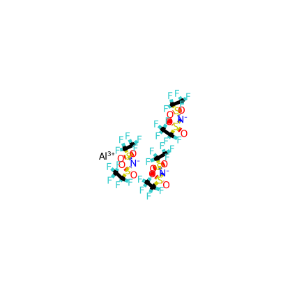 O=S(=O)([N-]S(=O)(=O)C(F)(F)C(F)(F)F)C(F)(F)C(F)(F)F.O=S(=O)([N-]S(=O)(=O)C(F)(F)C(F)(F)F)C(F)(F)C(F)(F)F.O=S(=O)([N-]S(=O)(=O)C(F)(F)C(F)(F)F)C(F)(F)C(F)(F)F.[Al+3]